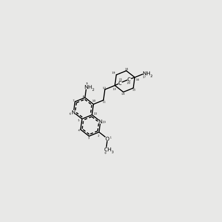 COc1ccc2ncc(N)c(CCC34CCC(N)(CC3)CC4)c2n1